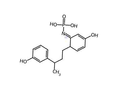 CC(CCC1C=CC(O)=C/C1=N\P(=O)(O)O)c1cccc(O)c1